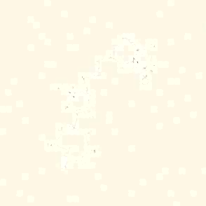 C=C(CCCC(=C)N(C)CC(=C)C1CC/C=C/CCC1)CN1C(=C)CCC1=O